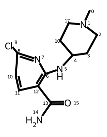 CN1CCC(Nc2nc(Cl)ccc2C(N)=O)CC1